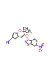 CC1(C)Oc2ccc(C#N)cc2C=C1Oc1nsc2cc([N+](=O)[O-])ccc12